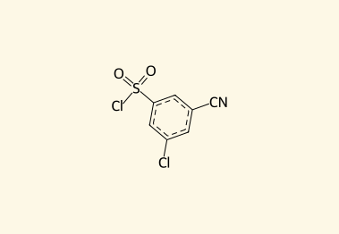 N#Cc1cc(Cl)cc(S(=O)(=O)Cl)c1